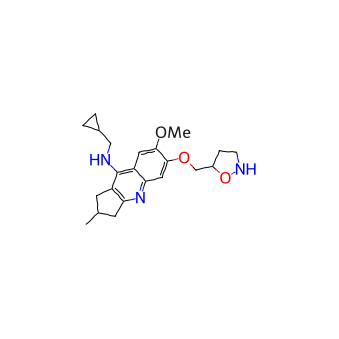 COc1cc2c(NCC3CC3)c3c(nc2cc1OCC1CCNO1)CC(C)C3